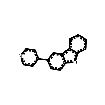 [c]1c(-c2ccncc2)ccc2oc3ccccc3c12